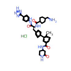 Cc1ccc(C(=O)NC2CCNC(=O)C2)cc1-c1ccc(C[C@H](NC(=O)C2CCC(CN)CC2)C(=O)Nc2ccc(-c3nn[nH]n3)cc2)cc1.Cl